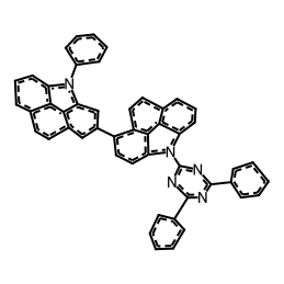 c1ccc(-c2nc(-c3ccccc3)nc(-n3c4cccc5ccc6c(-c7cc8ccc9cccc%10c9c8c(c7)n%10-c7ccccc7)ccc3c6c54)n2)cc1